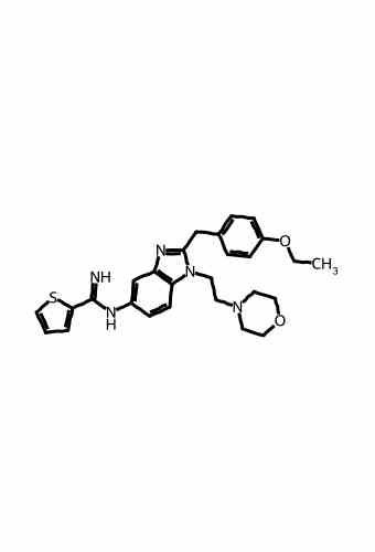 CCOc1ccc(Cc2nc3cc(NC(=N)c4cccs4)ccc3n2CCN2CCOCC2)cc1